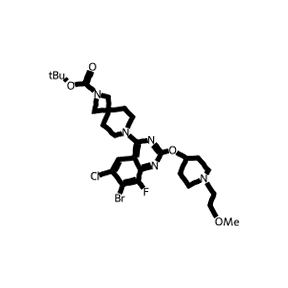 COCCN1CCC(Oc2nc(N3CCC4(CC3)CN(C(=O)OC(C)(C)C)C4)c3cc(Cl)c(Br)c(F)c3n2)CC1